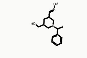 OCC1CC(C=NO)CN(C(I)c2ccccc2)C1